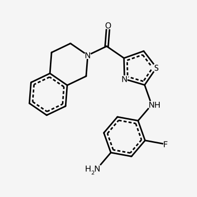 Nc1ccc(Nc2nc(C(=O)N3CCc4ccccc4C3)cs2)c(F)c1